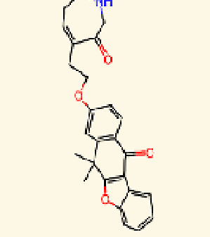 CC1(C)c2cc(OCCC3=CCCNCC3=O)ccc2C(=O)c2c1oc1ccccc21